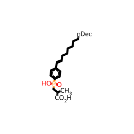 CCCCCCCCCCCCCCCCC=Cc1ccc(P(=O)(O)CC(C)C(=O)O)cc1